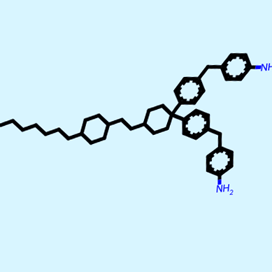 CCCCCCCC1CCC(CCC2CCC(c3ccc(Cc4ccc(N)cc4)cc3)(c3ccc(Cc4ccc(N)cc4)cc3)CC2)CC1